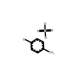 Cc1ccc(Cl)cc1.O=S(=O)(Cl)Cl